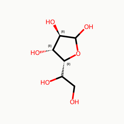 OCC(O)[C@H]1OC(O)[C@H](O)[C@H]1O